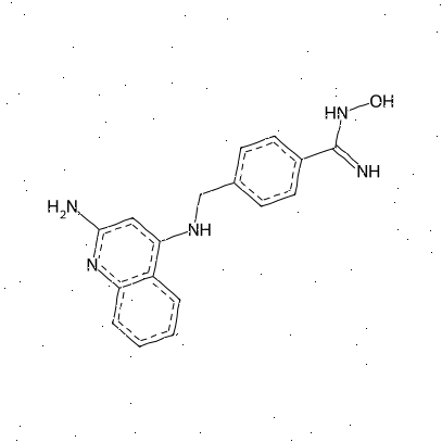 N=C(NO)c1ccc(CNc2cc(N)nc3ccccc23)cc1